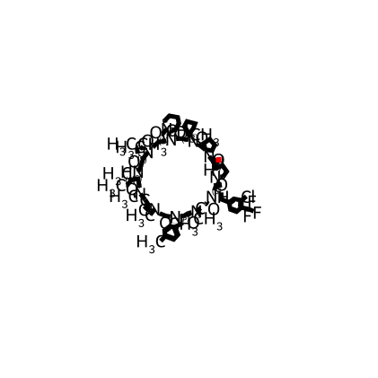 CC[C@H](C)[C@@H]1NC(=O)[C@H](CC(C)C)N(C)C(=O)C[C@@H](C(=O)N2CCCCC2)N(C)C(=O)[C@H](C2CCCC2)N(C)C(=O)C2(CCCC2)NC(=O)[C@@H]2CCCN2C(=O)[C@H](CCc2ccc(C(F)(F)F)c(Cl)c2)NC(=O)CN(C)C(=O)[C@H](Cc2ccc(C)cc2)N(C)C(=O)CN(C)C(=O)CN(C)C1=O